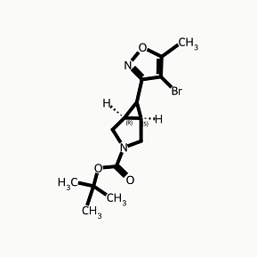 Cc1onc(C2[C@H]3CN(C(=O)OC(C)(C)C)C[C@@H]23)c1Br